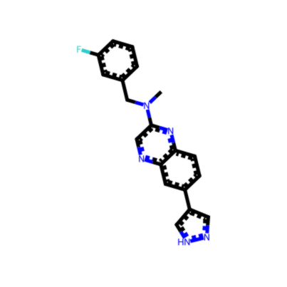 CN(Cc1cccc(F)c1)c1cnc2cc(-c3cn[nH]c3)ccc2n1